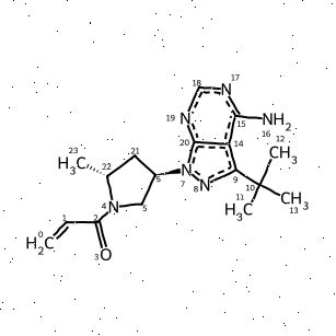 C=CC(=O)N1C[C@H](n2nc(C(C)(C)C)c3c(N)ncnc32)C[C@H]1C